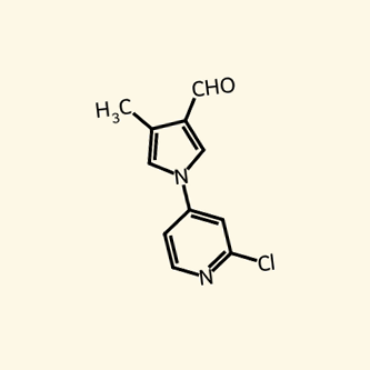 Cc1cn(-c2ccnc(Cl)c2)cc1C=O